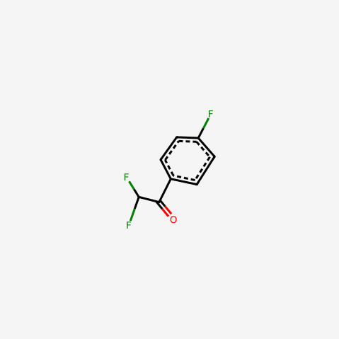 O=C(c1ccc(F)cc1)C(F)F